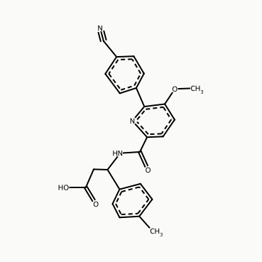 COc1ccc(C(=O)NC(CC(=O)O)c2ccc(C)cc2)nc1-c1ccc(C#N)cc1